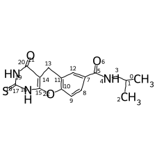 CC(C)CNC(=O)c1ccc2c(c1)Cc1c([nH]c(=S)[nH]c1=O)O2